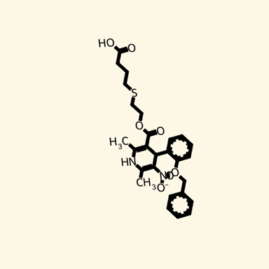 CC1=C(C(=O)OCCSCCCC(=O)O)C(c2ccccc2OCc2ccccc2)C([N+](=O)[O-])=C(C)N1